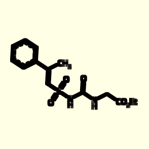 CCOC(=O)CNC(=O)NS(=O)(=O)/C=C(\C)c1ccccc1